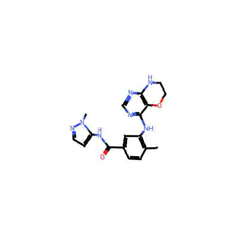 Cc1ccc(C(=O)Nc2ccnn2C)cc1Nc1ncnc2c1OCCN2